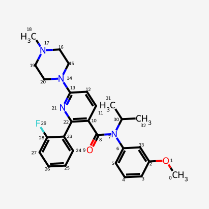 COc1cccc(N(C(=O)c2ccc(N3CCN(C)CC3)nc2-c2ccccc2F)C(C)C)c1